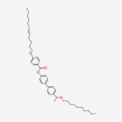 CCCCCCCCCCCCOc1ccc(C(=O)Oc2ccc(-c3ccc(C(C)OCCCCCCCCCC)cc3)cc2)cc1